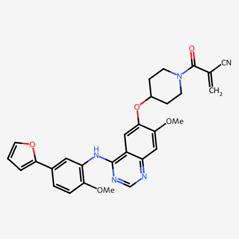 C=C(C#N)C(=O)N1CCC(Oc2cc3c(Nc4cc(-c5ccco5)ccc4OC)ncnc3cc2OC)CC1